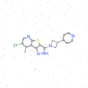 Cc1c(Cl)cnc2sc3c(N4CC(c5ccncc5)C4)[nH]nc3c12